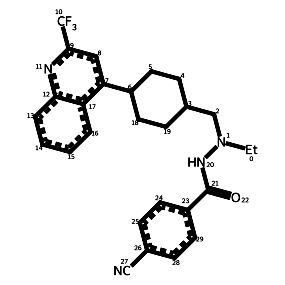 CCN(CC1CCC(c2cc(C(F)(F)F)nc3ccccc23)CC1)NC(=O)c1ccc(C#N)cc1